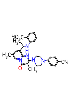 Cc1cc(C(C)Nc2ccccc2C(=O)O)c2nc(N3CCN(c4ccc(C#N)cc4)CC3)c(C)c(=O)n2c1